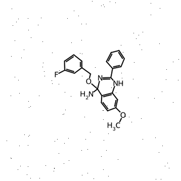 COc1ccc2c(c1)NC(c1ccccc1)=NC2(N)OCc1cccc(F)c1